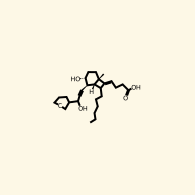 CCCCCCC1C(=CCCC(=O)O)[C@@]2(C)CC[C@@H](O)[C@H](C#CC(O)C3CCCCC3)[C@@H]12